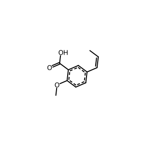 C/C=C\c1ccc(OC)c(C(=O)O)c1